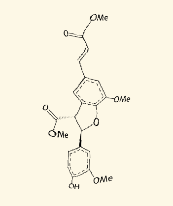 COC(=O)/C=C/c1cc(OC)c2c(c1)[C@@H](C(=O)OC)[C@H](c1ccc(O)c(OC)c1)O2